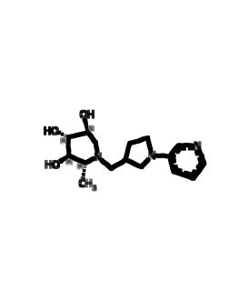 C[C@@H]1[C@@H](O)[C@H](O)[C@@H](O)CN1CC1CCN(c2cccnc2)C1